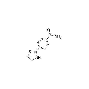 NC(=O)c1ccc(N2NC=CS2)cc1